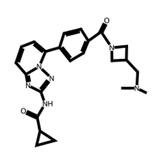 CN(C)CC1CN(C(=O)c2ccc(-c3cccc4nc(NC(=O)C5CC5)nn34)cc2)C1